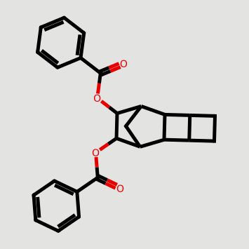 O=C(OC1C2CC(C1OC(=O)c1ccccc1)C1C3CCC3C21)c1ccccc1